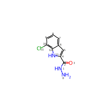 NNC(=O)c1cc2cccc(Cl)c2[nH]1